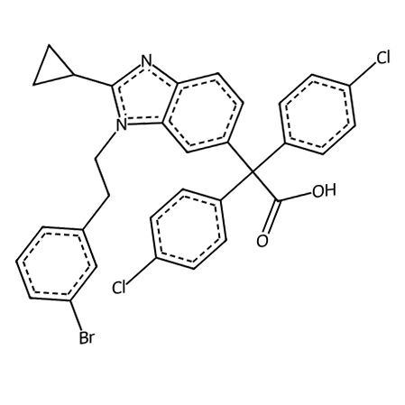 O=C(O)C(c1ccc(Cl)cc1)(c1ccc(Cl)cc1)c1ccc2nc(C3CC3)n(CCc3cccc(Br)c3)c2c1